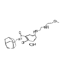 COCCNCCNc1ccc(Cl)c(C(=O)NCC23CC4CC(CC(C4)C2)C3)c1.Cl